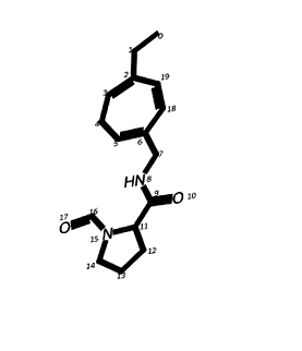 CCC1=CCC=C(CNC(=O)C2CCCN2C=O)C=C1